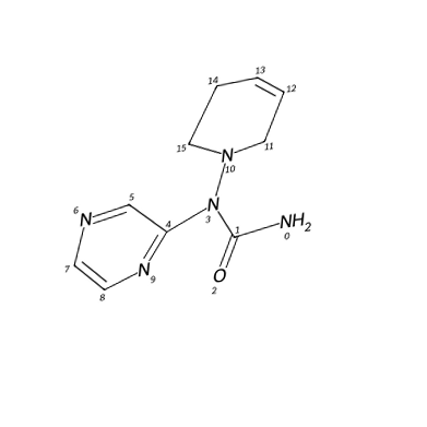 NC(=O)N(c1cnccn1)N1CC=CCC1